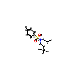 CCCN(CCC(C)(C)C)S(=O)(=O)c1ccc(C)cc1